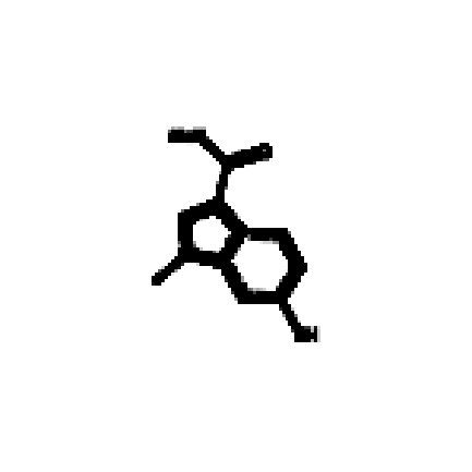 CNC(=O)c1cn(C)c2cc(O)ccc12